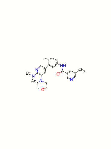 CCN(C(C)=O)c1ncc(-c2cc(NC(=O)c3cncc(C(F)(F)F)c3)ccc2C)cc1N1CCOCC1